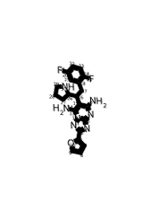 Nc1nc2nc(-c3ccco3)nn2c(N)c1C(Cc1cc(F)ccc1F)C1CCCN1